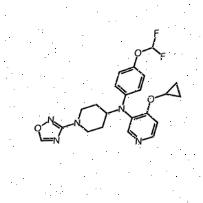 FC(F)Oc1ccc(N(c2cnccc2OC2CC2)C2CCN(c3ncon3)CC2)cc1